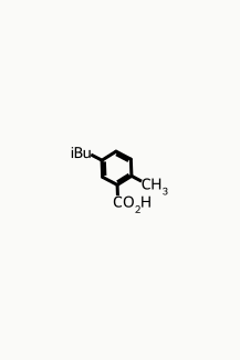 CCC(C)c1ccc(C)c(C(=O)O)c1